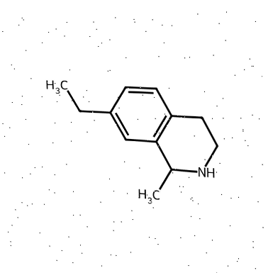 CCc1ccc2c(c1)C(C)NCC2